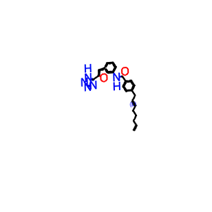 C=CCCC/C=C/Cc1ccc(C(=O)Nc2cccc3cc(-c4nnn[nH]4)oc23)cc1